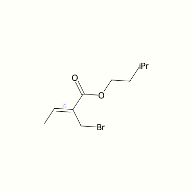 C/C=C(\CBr)C(=O)OCCC(C)C